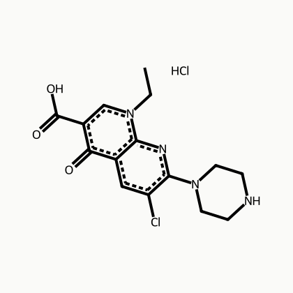 CCn1cc(C(=O)O)c(=O)c2cc(Cl)c(N3CCNCC3)nc21.Cl